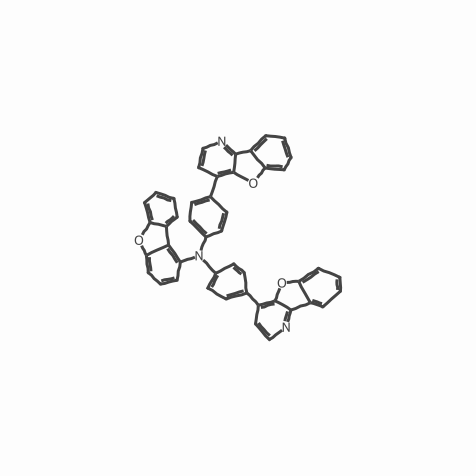 c1ccc2c(c1)oc1c(-c3ccc(N(c4ccc(-c5ccnc6c5oc5ccccc56)cc4)c4cccc5oc6ccccc6c45)cc3)ccnc12